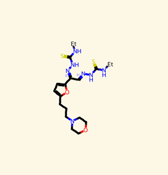 CCNC(=S)N/N=C/C(=N\NC(=S)NCC)c1ccc(CCCN2CCOCC2)o1